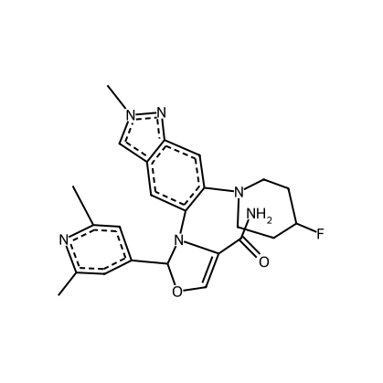 Cc1cc(C2OC=C(C(N)=O)N2c2cc3cn(C)nc3cc2N2CCC(F)CC2)cc(C)n1